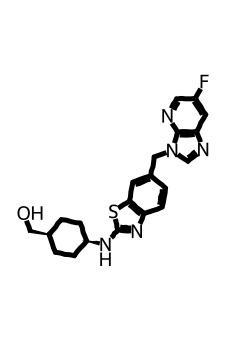 OC[C@H]1CC[C@@H](Nc2nc3ccc(Cn4cnc5cc(F)cnc54)cc3s2)CC1